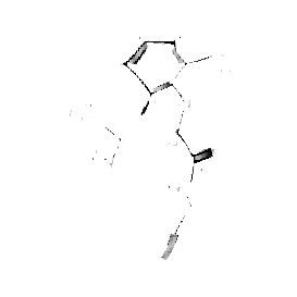 C#CCOC(=O)[C@H](C)Nc1c(C)cccc1C.NCC(=O)O